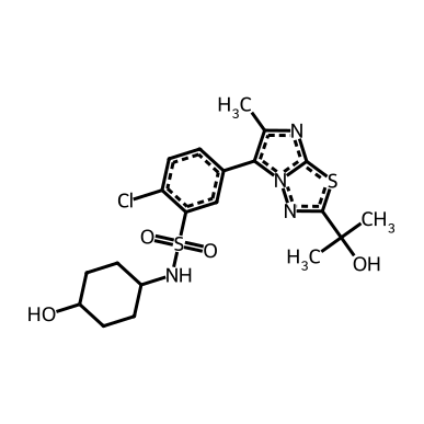 Cc1nc2sc(C(C)(C)O)nn2c1-c1ccc(Cl)c(S(=O)(=O)NC2CCC(O)CC2)c1